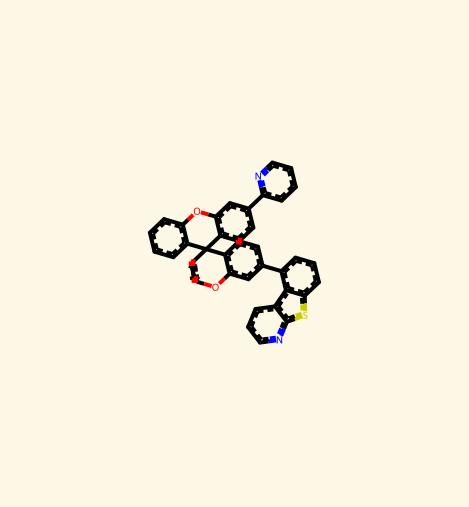 c1ccc(-c2ccc3c(c2)Oc2ccccc2C32c3ccccc3Oc3cc(-c4cccc5sc6ncccc6c45)ccc32)nc1